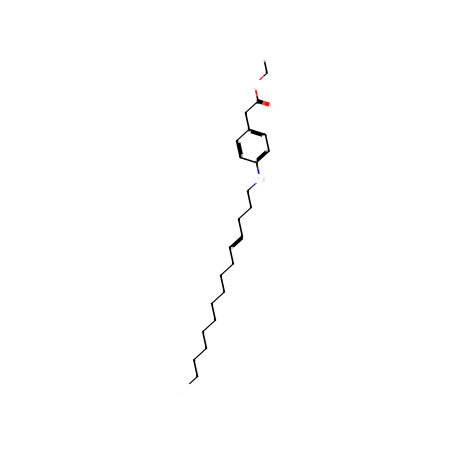 CCCCCCCCCCC=CCCCNc1ccc(CC(=O)OCC)cc1